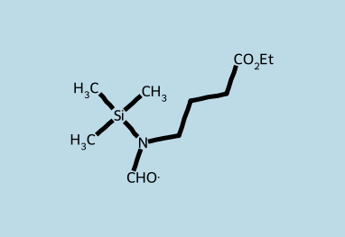 CCOC(=O)CCCN([C]=O)[Si](C)(C)C